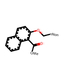 CCCCCCCCCCOc1ccc2ccccc2c1C(=O)OC